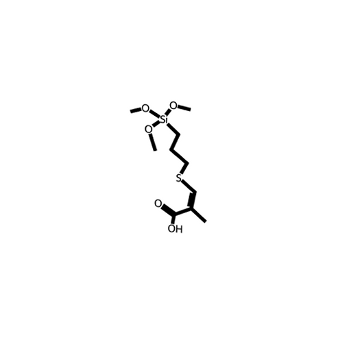 CO[Si](CCCSC=C(C)C(=O)O)(OC)OC